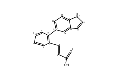 O=C(O)/C=C/c1ccncc1-c1ccc2[nH]ccc2c1